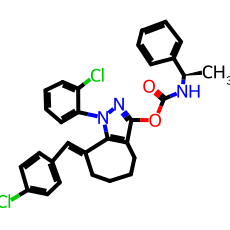 C[C@@H](NC(=O)Oc1nn(-c2ccccc2Cl)c2c1CCCC/C2=C\c1ccc(Cl)cc1)c1ccccc1